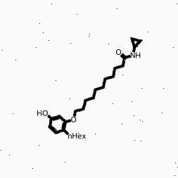 CCCCCCc1ccc(O)cc1OCCCCCCCCCCC(=O)NC1CC1